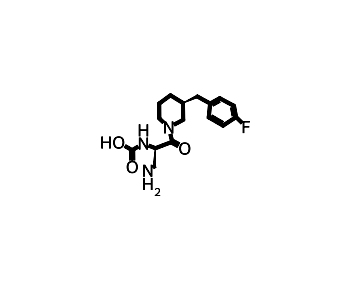 NC[C@@H](NC(=O)O)C(=O)N1CCC[C@@H](Cc2ccc(F)cc2)C1